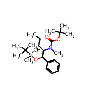 CCC[C@H]([C@H](O[Si](C)(C)C(C)(C)C)c1ccccc1)N(C)C(=O)OC(C)(C)C